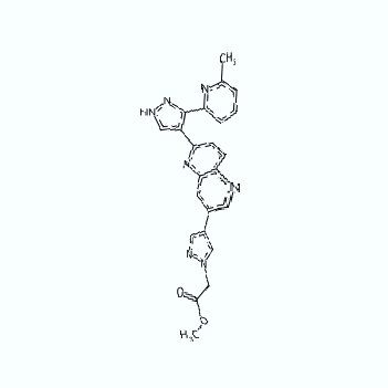 COC(=O)Cn1cc(-c2cnc3ccc(-c4c[nH]nc4-c4cccc(C)n4)nc3c2)cn1